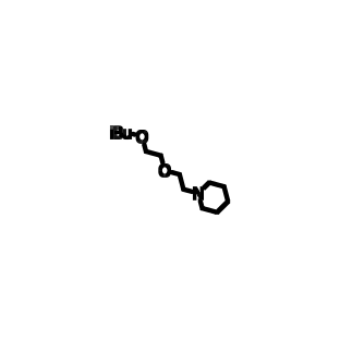 CCC(C)OCCOCCN1CCCCC1